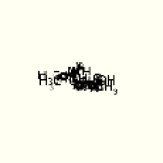 CC1(C)CC=C(c2nn(C3CC3)cc2Oc2ccnc(Nc3ccnc(C(C)(C)O)c3)c2)CC1